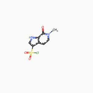 Cn1ccc2c(S(=O)(=O)Cl)c[nH]c2c1=O